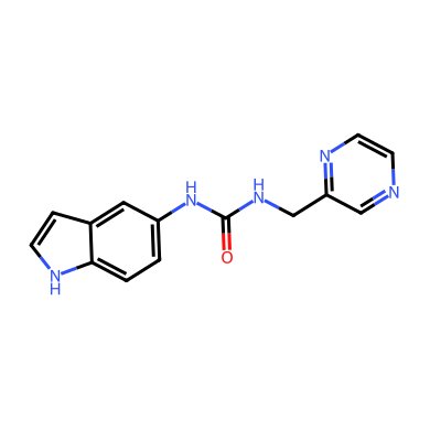 O=C(NCc1cnccn1)Nc1ccc2[nH]ccc2c1